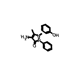 Cc1c(N)c(=O)n(-c2ccccc2)n1C.Oc1ccccc1